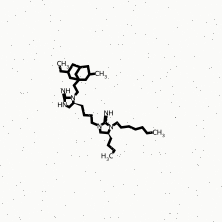 CCCCCCCN1C(=N)N(CCCC[C@H]2CNC(=N)N2CCC23CC(C)CC(CC(CC)C2)C3)C[C@@H]1CCCC